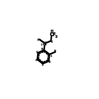 Cc1ccccc1N(C)CC(F)(F)F